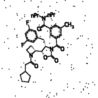 CCCN(CCC)C(=O)c1cc(C)cc(C(=O)N2C(=O)O[C@H]([C@H]3CCN3C(=O)CC3CCCC3)[C@@H]2Cc2cc(F)cc(F)c2)c1